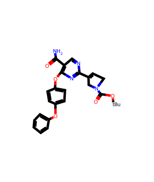 CC(C)(C)OC(=O)N1CC=C(c2ncc(C(N)=O)c(Oc3ccc(Oc4ccccc4)cc3)n2)C1